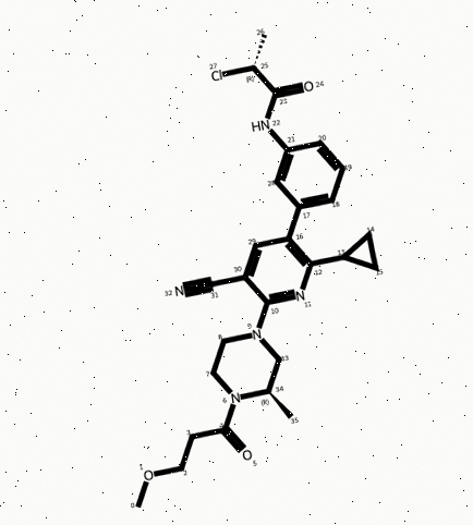 COCCC(=O)N1CCN(c2nc(C3CC3)c(-c3cccc(NC(=O)[C@@H](C)Cl)c3)cc2C#N)C[C@H]1C